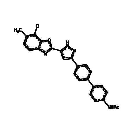 CC(=O)Nc1ccc(-c2ccc(-c3cc(-c4nc5ccc(C)c(Cl)c5o4)[nH]n3)cc2)cc1